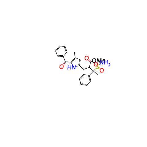 COC(=O)C(Cc1cc(C)c(C(=O)c2ccccc2)[nH]1)C(C)(c1ccccc1)S(N)(=O)=O